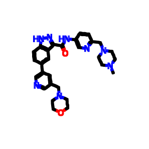 CN1CCN(Cc2ccc(NC(=O)c3n[nH]c4ccc(-c5cncc(CN6CCOCC6)c5)cc34)cn2)CC1